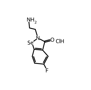 Cl.NCCn1[se]c2ccc(F)cc2c1=O